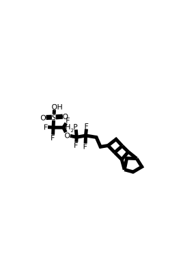 O=S(=O)(O)C(F)(F)C(F)OC(F)(P)C(F)(F)CCC1CC2C3C4CCC(C4)C3C12